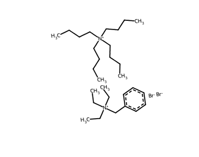 CCCC[N+](CCCC)(CCCC)CCCC.CC[N+](CC)(CC)Cc1ccccc1.[Br-].[Br-]